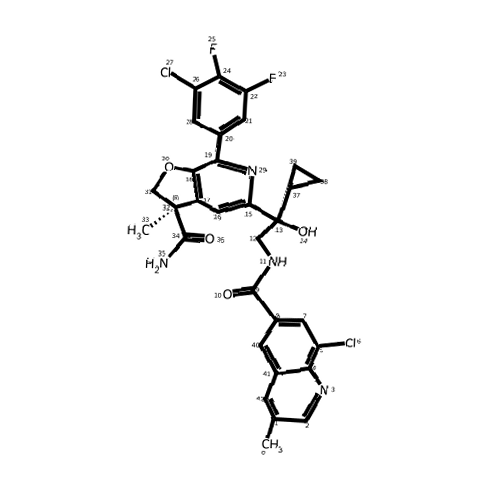 Cc1cnc2c(Cl)cc(C(=O)NCC(O)(c3cc4c(c(-c5cc(F)c(F)c(Cl)c5)n3)OC[C@]4(C)C(N)=O)C3CC3)cc2c1